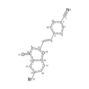 N#Cc1ccc(C=Cc2cc(=O)c3cc(Br)ccc3o2)cc1